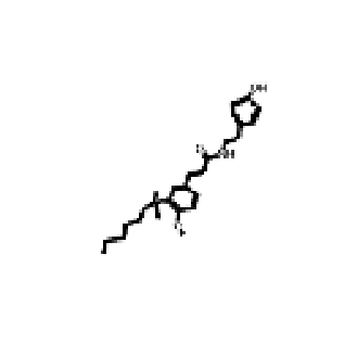 CCCCCCC(C)(C)c1cc(C=CC(=O)NCCc2ccc(O)cc2)ccc1OC